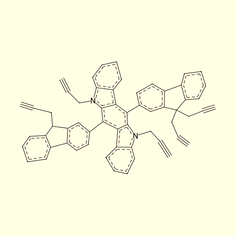 C#CCC1c2ccccc2-c2ccc(-c3c4c5ccccc5n(CC#C)c4c(-c4ccc5c(c4)C(CC#C)(CC#C)c4ccccc4-5)c4c5ccccc5n(CC#C)c34)cc21